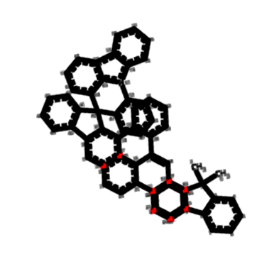 CC1(C)c2ccccc2-c2cccc(/C=C(\c3ccccc3-c3ccccc3)c3ccccc3-c3cccc4c3C3(c5ccccc5-4)c4ccccc4-n4c5ccccc5c5cccc3c54)c21